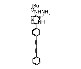 CC(C)(C)ONC(=O)[C@H](CN)NC(=O)c1ccc(C#CC#Cc2ccccc2)cc1